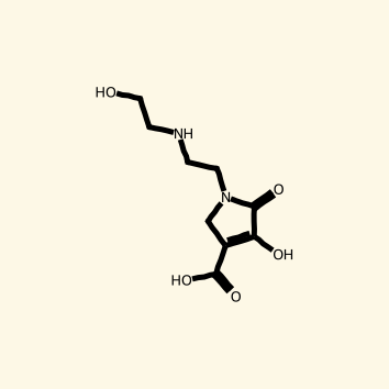 O=C(O)C1=C(O)C(=O)N(CCNCCO)C1